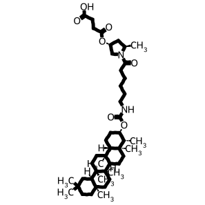 C[C@@H]1C[C@@H](OC(=O)CCC(=O)O)CN1C(=O)CCCCCNC(=O)O[C@H]1CC[C@@H]2[C@](C)(CC[C@H]3[C@@]2(C)CC[C@@]2(C)[C@@H]4CC(C)(C)CC[C@]4(C)CC[C@]32C)[C@H]1C